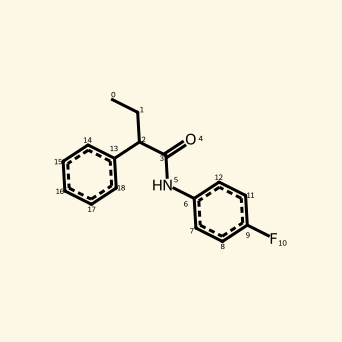 CCC(C(=O)Nc1ccc(F)cc1)c1ccccc1